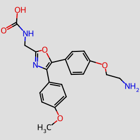 COc1ccc(-c2nc(CNC(=O)O)oc2-c2ccc(OCCN)cc2)cc1